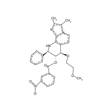 COCCO[C@@H]1c2ccn3c(C)c(C)nc3c2N[C@H](c2ccccc2)[C@H]1OC(=O)c1cccc([N+](=O)[O-])c1